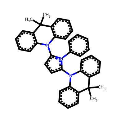 CC1(C)c2ccccc2N(c2ccc(N3c4ccccc4C(C)(C)c4ccccc43)n2-c2ccccc2)c2ccccc21